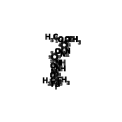 CCOc1cc2c(Oc3cccc(NC(=O)Nc4cc(C(C)(C)C(F)(F)F)on4)c3)ncnc2cc1OC